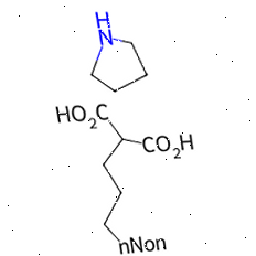 C1CCNC1.CCCCCCCCCCCCC(C(=O)O)C(=O)O